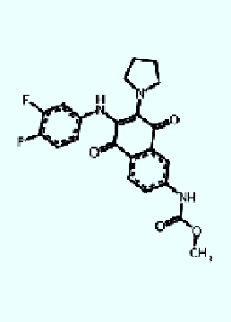 COC(=O)Nc1ccc2c(c1)C(=O)C(N1CCCC1)=C(Nc1ccc(F)c(F)c1)C2=O